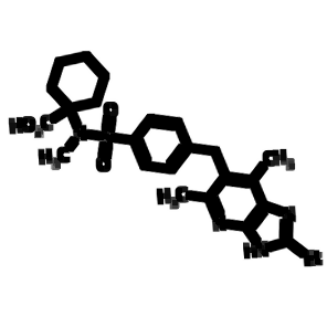 CCc1nc2c(C)c(Cc3ccc(S(=O)(=O)N(C)C4(C(=O)O)CCCCC4)cc3)c(C)nc2[nH]1